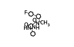 CC(NC(=O)c1cc(=O)[nH]c(-c2ccccc2)n1)c1cccc(-c2ccc(F)cc2)c1